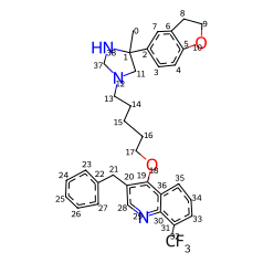 CC1(c2ccc3c(c2)CCO3)CN(CCCCCOc2c(Cc3ccccc3)cnc3c(C(F)(F)F)cccc23)CN1